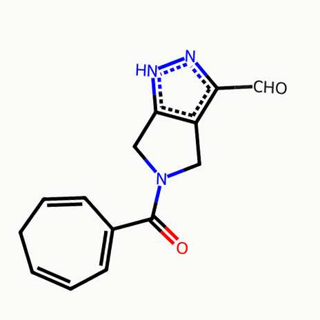 O=Cc1n[nH]c2c1CN(C(=O)C1=CC=CCC=C1)C2